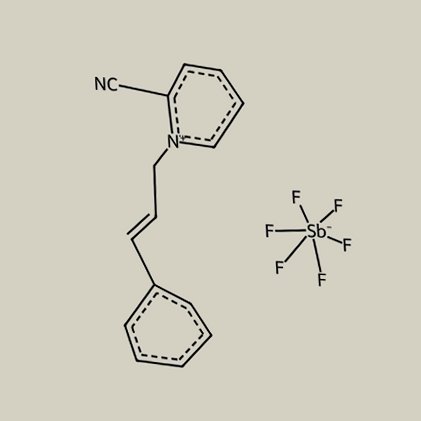 N#Cc1cccc[n+]1CC=Cc1ccccc1.[F][Sb-]([F])([F])([F])([F])[F]